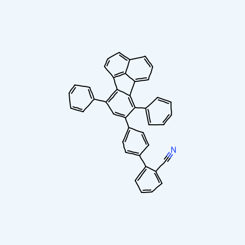 N#Cc1ccccc1-c1ccc(-c2cc(-c3ccccc3)c3c(c2-c2ccccc2)-c2cccc4cccc-3c24)cc1